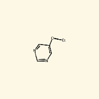 CCOc1cncnc1